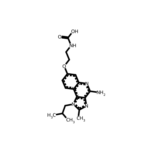 Cc1nc2c(N)nc3cc(OCCNC(=O)O)ccc3c2n1CC(C)C